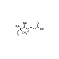 C=NC(C)(C)C(=N)NCCC(=O)O